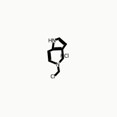 Cl.ClCN1C=Cc2[nH]ccc2C1